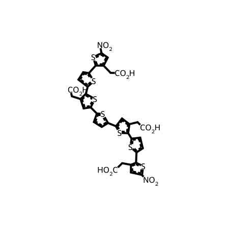 O=C(O)Cc1cc(-c2ccc(-c3cc(CC(=O)O)c(-c4ccc(-c5sc([N+](=O)[O-])cc5CC(=O)O)s4)s3)s2)sc1-c1ccc(-c2sc([N+](=O)[O-])cc2CC(=O)O)s1